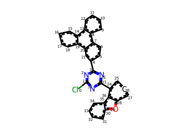 Clc1nc(-c2ccc3c4ccccc4c4ccccc4c3c2)nc(-c2cccc3oc4ccccc4c23)n1